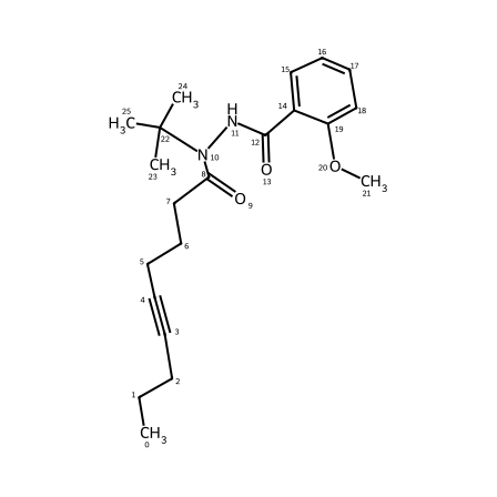 CCCC#CCCCC(=O)N(NC(=O)c1ccccc1OC)C(C)(C)C